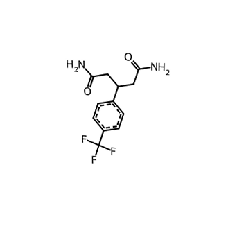 NC(=O)CC(CC(N)=O)c1ccc(C(F)(F)F)cc1